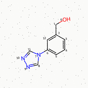 OCc1cccc(-n2cnnc2)c1